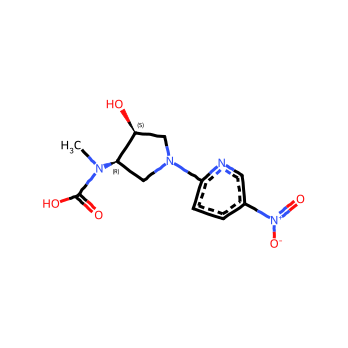 CN(C(=O)O)[C@@H]1CN(c2ccc([N+](=O)[O-])cn2)C[C@@H]1O